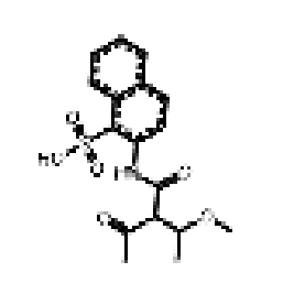 COC(C)C(C(C)=O)C(=O)Nc1ccc2ccccc2c1S(=O)(=O)O